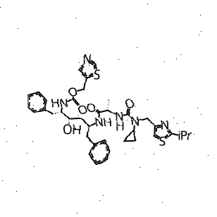 CC(C)c1nc(CN(C(=O)N[C@@H](C)C(=O)N[C@@H](Cc2ccccc2)C[C@H](O)[C@H](Cc2ccccc2)NC(=O)OCc2cncs2)C2CC2)cs1